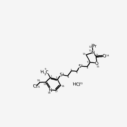 Cc1c(SCCCSCC2CN(C(C)C)C(=O)O2)ccnc1CCl.Cl